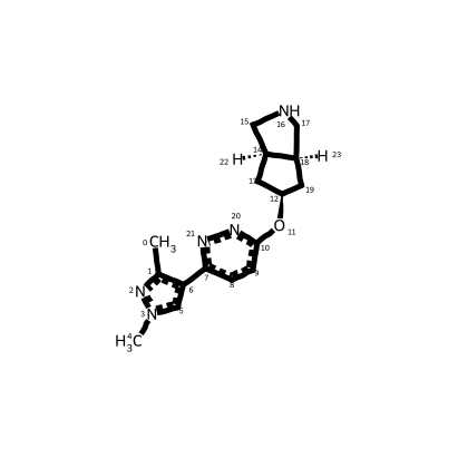 Cc1nn(C)cc1-c1ccc(O[C@H]2C[C@H]3CNC[C@H]3C2)nn1